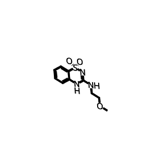 COCCNC1=NS(=O)(=O)c2ccccc2N1